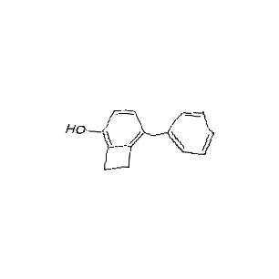 Oc1ccc(-c2ccccc2)c2c1CC2